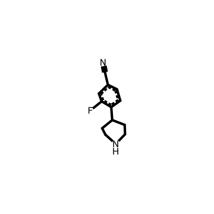 N#Cc1ccc(C2CCNCC2)c(F)c1